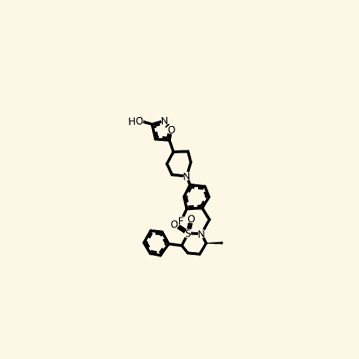 C[C@H]1CCC(c2ccccc2)S(=O)(=O)N1Cc1ccc(N2CCC(c3cc(O)no3)CC2)cc1F